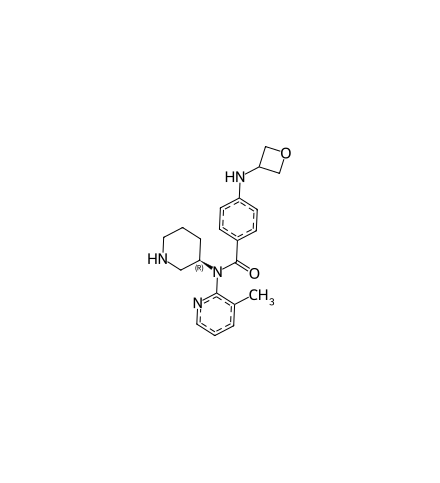 Cc1cccnc1N(C(=O)c1ccc(NC2COC2)cc1)[C@@H]1CCCNC1